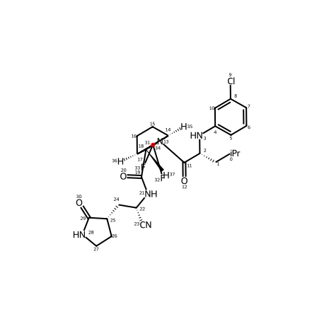 CC(C)C[C@@H](Nc1cccc(Cl)c1)C(=O)N1[C@@H]2CC[C@H]([C@H]1C(=O)N[C@H](C#N)C[C@@H]1CCNC1=O)C(F)(F)C2